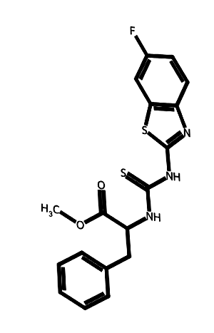 COC(=O)C(Cc1ccccc1)NC(=S)Nc1nc2ccc(F)cc2s1